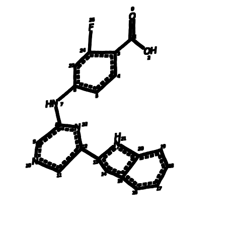 O=C(O)c1ccc(Nc2cncc(-c3cc4ccccc4[nH]3)n2)cc1F